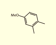 COc1[c]cc(C)c(C)c1